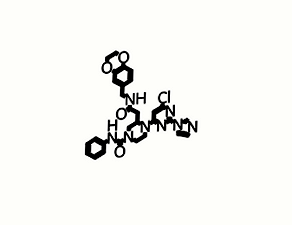 O=C(CC1CN(C(=O)Nc2ccccc2)CCN1c1cc(Cl)nc(-n2ccnc2)n1)NCc1ccc2c(c1)OCCO2